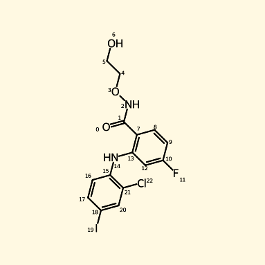 O=C(NOCCO)c1ccc(F)cc1Nc1ccc(I)cc1Cl